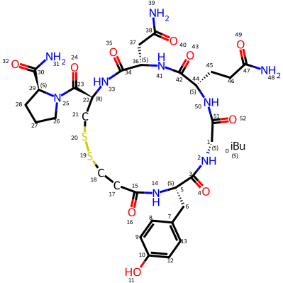 CC[C@H](C)[C@@H]1NC(=O)[C@H](Cc2ccc(O)cc2)NC(=O)CCSSC[C@@H](C(=O)N2CCC[C@H]2C(N)=O)NC(=O)[C@H](CC(N)=O)NC(=O)[C@H](CCC(N)=O)NC1=O